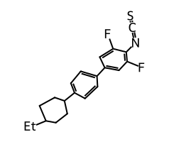 CCC1CCC(c2ccc(-c3cc(F)c(N=C=S)c(F)c3)cc2)CC1